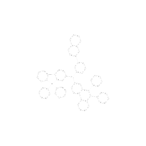 c1ccc(-c2c(-c3ccccc3)c3cc(N(c4cccc(-c5ccc6ccccc6c5)c4)c4ccc5c(c4)C(c4ccccc4)(c4ccccc4)c4ccccc4-5)ccc3c3ccccc23)cc1